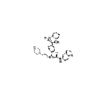 Nc1ccccc1NC(=O)c1ccc(C(CCCN2CCOCC2)NC(=O)Nc2ccc3ncccc3c2)cc1